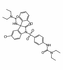 CCN(CC)C(=O)Nc1ccc(S(=O)(=O)N2C(=O)C(NC(=O)N(CC)CC)(c3ccccc3Cl)c3cc(Cl)ccc32)cc1